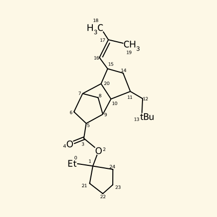 CCC1(OC(=O)C2CC3CC2C2C(CC(C)(C)C)CC(C=C(C)C)C32)CCCC1